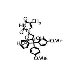 COc1ccc(C(c2ccccc2)(c2ccc(OC)cc2)[C@]2(O)C[C@H](n3cc(C)c(=O)[nH]c3=O)O[C@@H]2CO)cc1